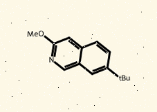 COc1cc2ccc(C(C)(C)C)cc2cn1